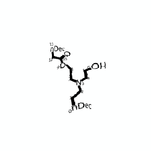 CCCCCCCCCCCCN(CCO)CCOC(=O)CCCCCCCCCCC